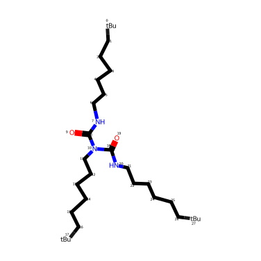 CC(C)(C)CCCCCCNC(=O)N(CCCCCCC(C)(C)C)C(=O)NCCCCCCC(C)(C)C